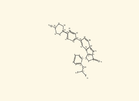 O=C1C[C@H](c2ccccc2OC(F)F)c2c1nc1ccc(-c3cnc(N4CC[S+]([O-])CC4)nc3)cn21